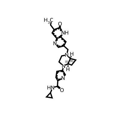 CCc1cc2ncc(CN3CCN(c4ccc(C(=O)NC5CC5)nc4)[C@H]4CC[C@H]43)cc2[nH]c1=O